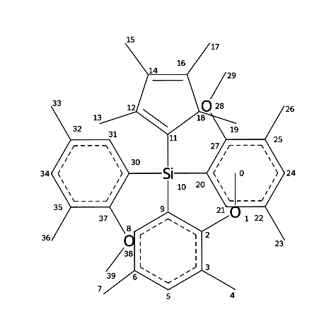 COc1c(C)cc(C)cc1[Si](C1=C(C)C(C)=C(C)C1C)(c1cc(C)cc(C)c1OC)c1cc(C)cc(C)c1OC